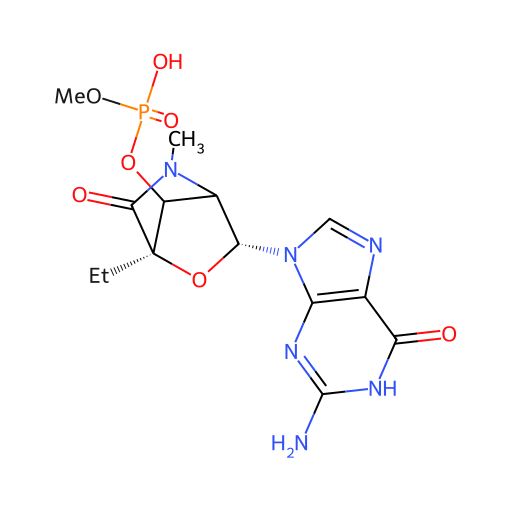 CC[C@@]12O[C@@H](n3cnc4c(=O)[nH]c(N)nc43)C(C1OP(=O)(O)OC)N(C)C2=O